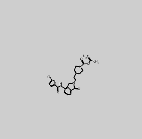 C=C(C)OC(=O)N1CCC(CCN2Cc3c(NC(=O)c4ccc(Cl)s4)cccc3C2=O)CC1